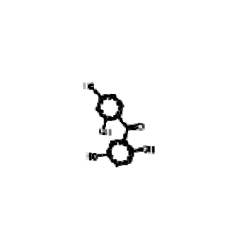 O=C(c1ccc(O)cc1O)c1cc(O)ccc1O